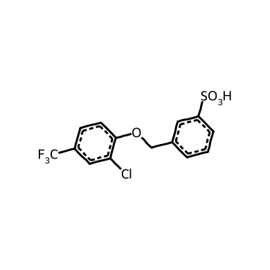 O=S(=O)(O)c1cccc(COc2ccc(C(F)(F)F)cc2Cl)c1